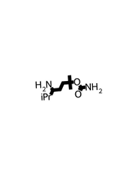 CC(C)C(N)CCC(C)(C)OC(N)=O